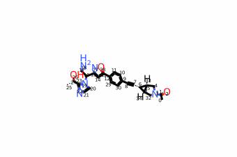 CC(=O)N1C[C@@H]2[C@@H](C#Cc3ccc(-c4cc(C(CN)n5ccnc5[C@H](C)O)no4)cc3)[C@@H]2C1